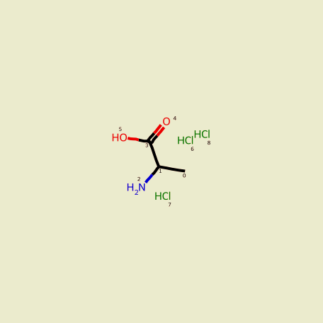 CC(N)C(=O)O.Cl.Cl.Cl